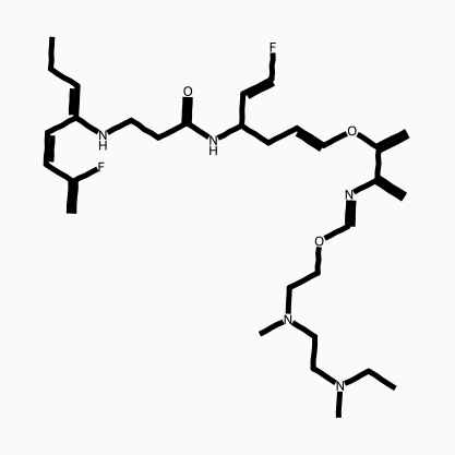 C=C(F)/C=C\C(=C/CC)NCCC(=O)NC(/C=C/F)C/C=C/OC(=C)C(=C)/N=C/OCCN(C)CCN(C)CC